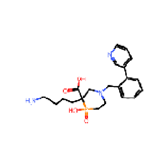 NCCCCC1(C(=O)O)CN(Cc2ccccc2-c2cccnc2)CCP1(=O)O